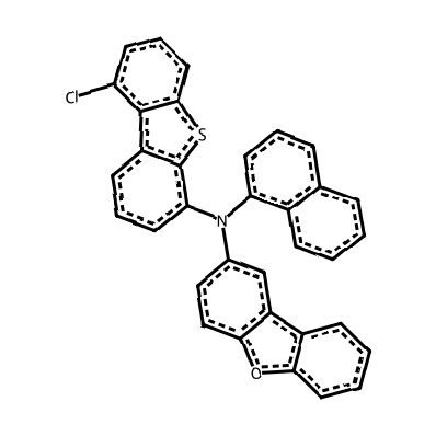 Clc1cccc2sc3c(N(c4ccc5oc6ccccc6c5c4)c4cccc5ccccc45)cccc3c12